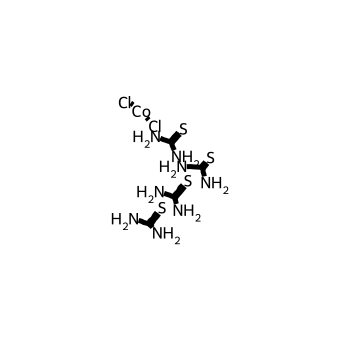 NC(N)=S.NC(N)=S.NC(N)=S.NC(N)=S.[Cl][Co][Cl]